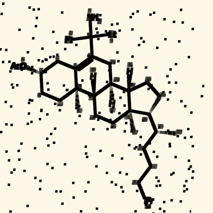 CCC(N)(CC)C1=C2C[C@@H](OC(C)=O)CC[C@]2(C)[C@H]2CC[C@]3(C)[C@@H]([C@H](C)CCCC(C)C)CC[C@H]3[C@@H]2C1